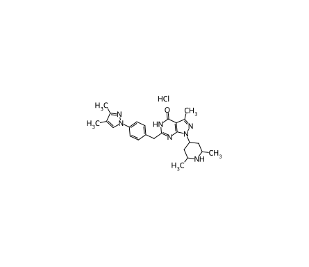 Cc1cn(-c2ccc(Cc3nc4c(c(C)nn4C4CC(C)NC(C)C4)c(=O)[nH]3)cc2)nc1C.Cl